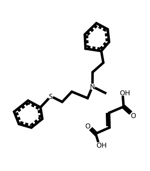 CN(CCCSc1ccccc1)CCc1ccccc1.O=C(O)C=CC(=O)O